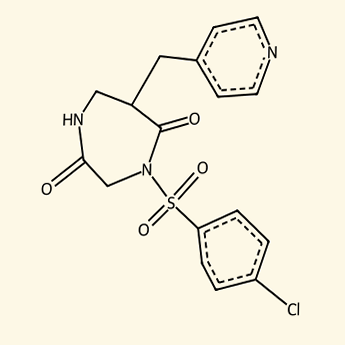 O=C1CN(S(=O)(=O)c2ccc(Cl)cc2)C(=O)C(Cc2ccncc2)CN1